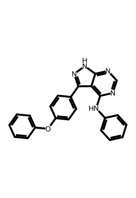 c1ccc(Nc2ncnc3[nH]nc(-c4ccc(Oc5ccccc5)cc4)c23)cc1